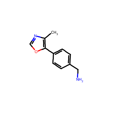 Cc1ncoc1-c1ccc(CN)cc1